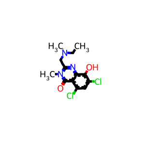 CCN(C)Cc1nc2c(O)c(Cl)cc(Cl)c2c(=O)n1C